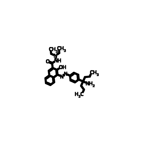 CCCC(N)(CCC)c1ccc(N=Nc2c(O)c(C(=O)NN(CC)CC)cc3ccccc23)cc1